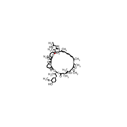 CO[C@@H]1C[C@@H](CC(C)[C@@H]2CC(=O)[C@H](C)/C=C(\C)[C@@H](O)[C@@H](OC)C(=O)[C@H](C)C[C@H](C)/C=C/C=C/C=C(/C)[C@H](/N=C(/NC(=N)N)N(C)C)C[C@@H]3CC[C@@H](C)[C@@](O)(O3)C(=O)C(=O)N3CCCC[C@H]3C(=O)O2)CC[C@H]1O